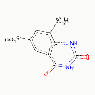 O=c1[nH]c(=O)c2cc(S(=O)(=O)O)cc(S(=O)(=O)O)c2[nH]1